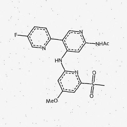 COc1cc(Nc2cc(NC(C)=O)ncc2-c2ccc(F)cn2)nc(S(C)(=O)=O)c1